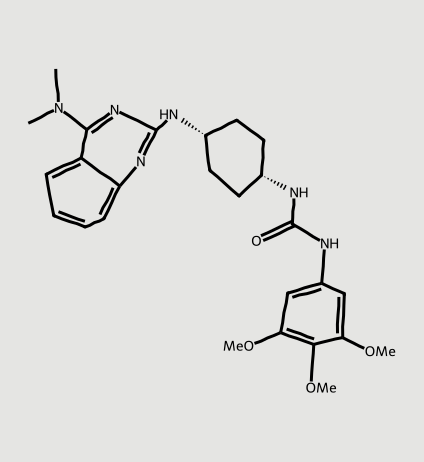 COc1cc(NC(=O)N[C@H]2CC[C@@H](Nc3nc(N(C)C)c4ccccc4n3)CC2)cc(OC)c1OC